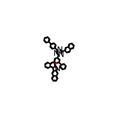 c1ccc(-c2ccc(-c3nc(-c4cccc(-c5ccccc5-n5c6cc7ccccc7cc6c6c7ccccc7ccc65)c4)nc(-c4ccc5ccccc5c4)n3)cc2)cc1